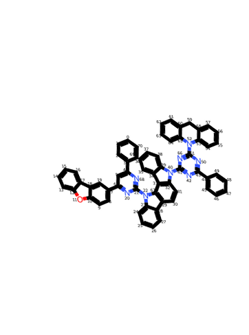 c1ccc(-c2cc(-c3ccc4oc5ccccc5c4c3)nc(-n3c4ccccc4c4ccc5c(c6ccccc6n5-c5nc(-c6ccccc6)nc(N6c7ccccc7Cc7ccccc76)n5)c43)n2)cc1